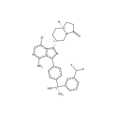 C[C@](O)(c1ccc(-c2nc([C@@H]3CC[C@H]4CCC(=O)N4C3)n3c(Cl)cnc(N)c23)cc1)c1cccc(C(F)F)c1